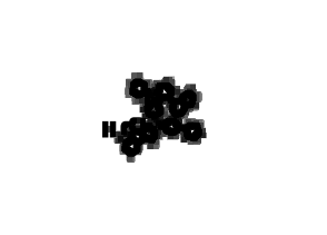 CC1(C)c2ccccc2-c2ccc(N(c3ccc(-c4ccccc4)cc3)c3ccc4c(c3)c3c(-c5cccc6ccccc56)cccc3n4-c3ccccc3)cc21